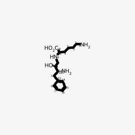 NCCCCC(NC[C@H](O)[C@H](N)Cc1ccccc1)C(=O)O